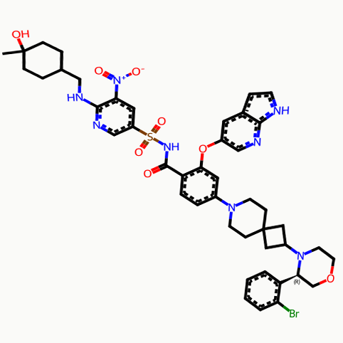 CC1(O)CCC(CNc2ncc(S(=O)(=O)NC(=O)c3ccc(N4CCC5(CC4)CC(N4CCOC[C@H]4c4ccccc4Br)C5)cc3Oc3cnc4[nH]ccc4c3)cc2[N+](=O)[O-])CC1